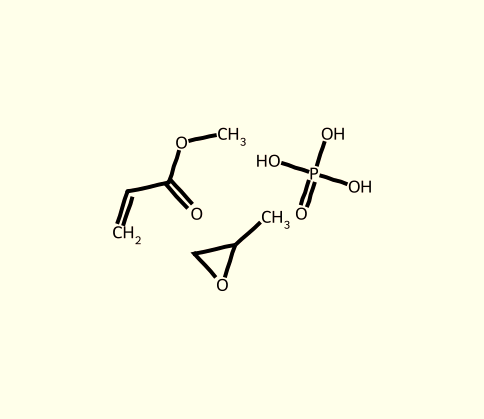 C=CC(=O)OC.CC1CO1.O=P(O)(O)O